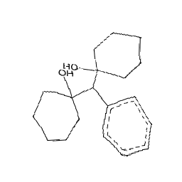 OC1(C(c2ccccc2)C2(O)CCCCC2)CCCCC1